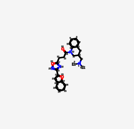 CCN(CC)CC1Cc2ccccc2N(C(=O)CCc2nc(-c3cc4ccccc4o3)no2)C1